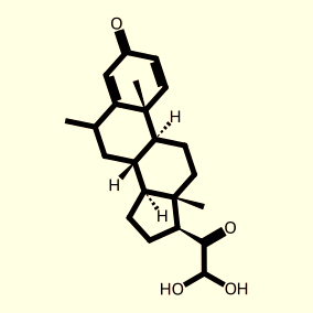 CC1C[C@H]2[C@@H]3CC[C@H](C(=O)C(O)O)[C@@]3(C)CC[C@@H]2[C@@]2(C)C=CC(=O)C=C12